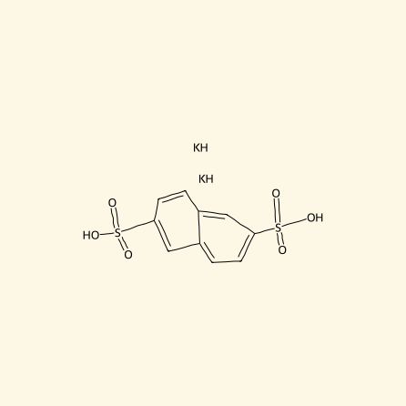 O=S(=O)(O)c1ccc2cc(S(=O)(=O)O)ccc2c1.[KH].[KH]